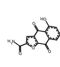 NC(=O)c1cc2c(o1)C(=O)c1cccc(O)c1C2=O